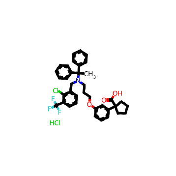 CC(c1ccccc1)(c1ccccc1)N(CCCOc1cccc(C2(C(=O)O)CCCC2)c1)Cc1cccc(C(F)(F)F)c1Cl.Cl